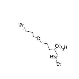 CCNCC(CCCOCCCC(C)C)C(=O)O